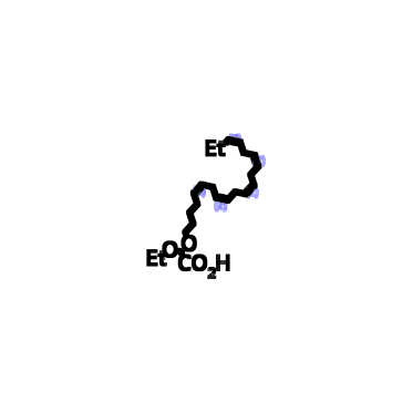 CC/C=C\C/C=C\C/C=C\C/C=C\C/C=C\CCCCOC(OCC)C(=O)O